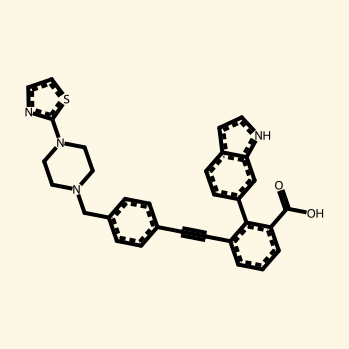 O=C(O)c1cccc(C#Cc2ccc(CN3CCN(c4nccs4)CC3)cc2)c1-c1ccc2cc[nH]c2c1